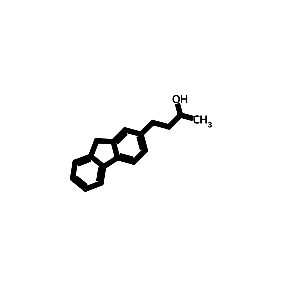 CC(O)CCc1ccc2c(c1)Cc1ccccc1-2